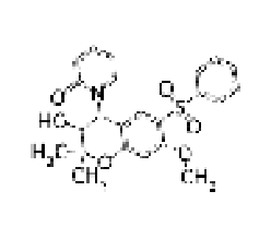 COc1cc2c(cc1S(=O)(=O)c1ccccc1)C(n1ccccc1=O)C(O)C(C)(C)O2